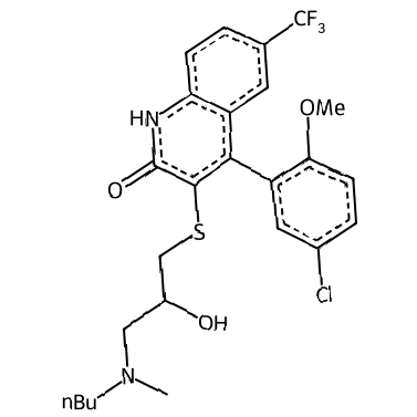 CCCCN(C)CC(O)CSc1c(-c2cc(Cl)ccc2OC)c2cc(C(F)(F)F)ccc2[nH]c1=O